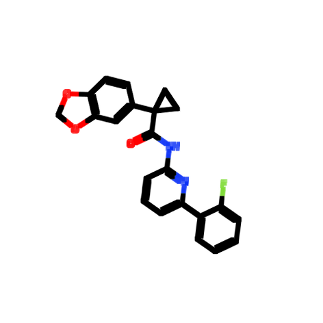 O=C(Nc1cccc(-c2ccccc2F)n1)C1(c2ccc3c(c2)OCO3)CC1